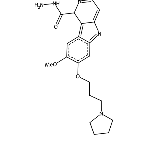 COc1cc2c(cc1OCCCN1CCCC1)=NC1=CC=NC(C(=O)NN)C=21